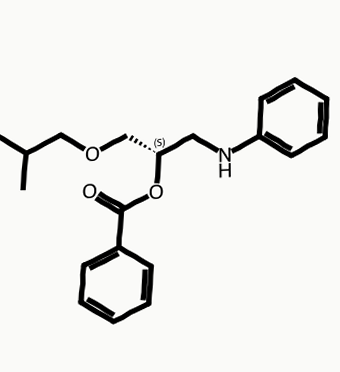 CC(C)COC[C@H](CNc1ccccc1)OC(=O)c1ccccc1